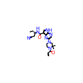 C=CC(=O)N1CCN(c2cnc3[nH]cc(C(=O)N[C@H](CC)CC#N)c3n2)CC1(C)C